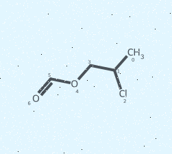 CC(Cl)COC=O